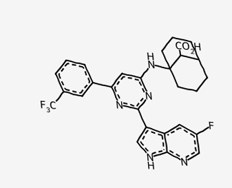 O=C(O)C1C2CCCC1(Nc1cc(-c3cccc(C(F)(F)F)c3)nc(-c3c[nH]c4ncc(F)cc34)n1)CCC2